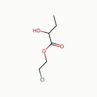 CCC(O)C(=O)OCCCl